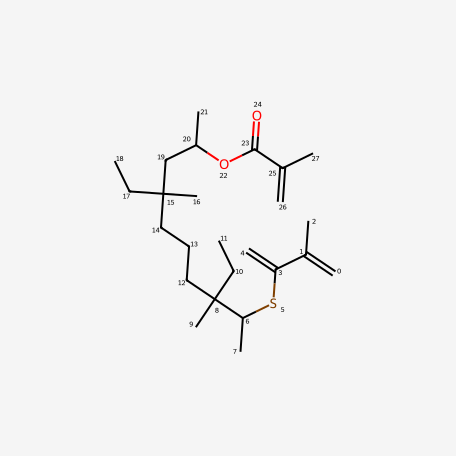 C=C(C)C(=C)SC(C)C(C)(CC)CCCC(C)(CC)CC(C)OC(=O)C(=C)C